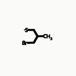 CC(C[S])CBr